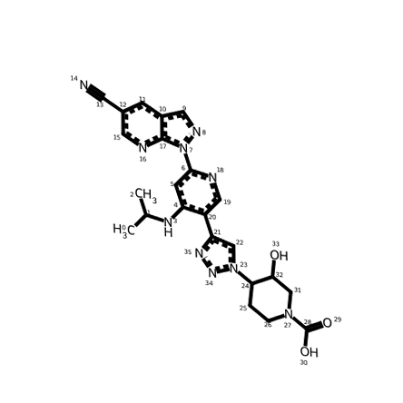 CC(C)Nc1cc(-n2ncc3cc(C#N)cnc32)ncc1-c1cn(C2CCN(C(=O)O)CC2O)nn1